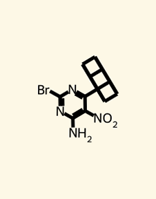 Nc1nc(Br)nc(C23C4C5C6C4C2C6C53)c1[N+](=O)[O-]